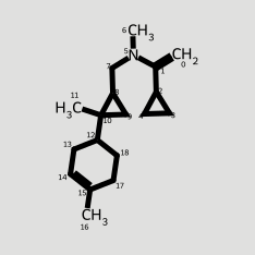 C=C(C1CC1)N(C)CC1CC1(C)C1CC=C(C)CC1